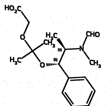 C[C@H]([C@@H](OC(C)(C)OCC(=O)O)c1ccccc1)N(C)C=O